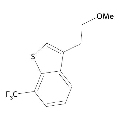 COCCc1csc2c(C(F)(F)F)cccc12